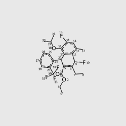 CCOC(=O)C1=C(CC)C(F)c2c(C)cc(F)c(OC(C)C)c2C1c1ccccc1C(F)(F)F